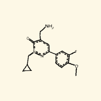 COc1ccc(-c2cc(CN)c(=O)n(CC3CC3)n2)cc1F